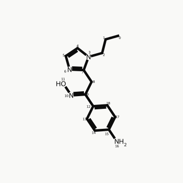 CCCn1ccnc1CC(=NO)c1ccc(N)cc1